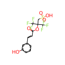 O=C(/C=C/c1cccc(O)c1)OC(CS(=O)(=O)O)(C(F)(F)F)C(F)(F)F